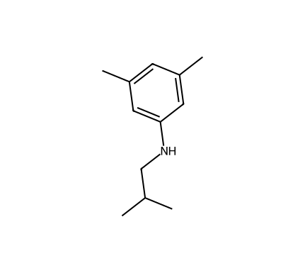 Cc1cc(C)cc(NCC(C)C)c1